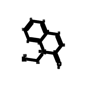 O=c1ccc2ccccc2n1CBr